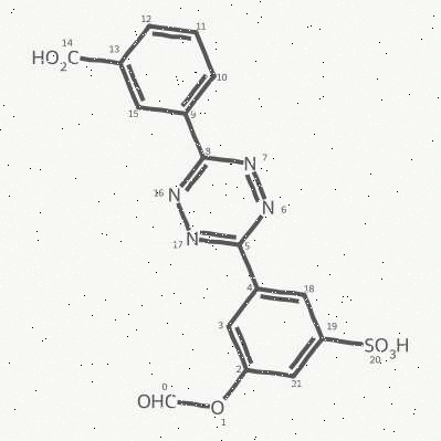 O=COc1cc(-c2nnc(-c3cccc(C(=O)O)c3)nn2)cc(S(=O)(=O)O)c1